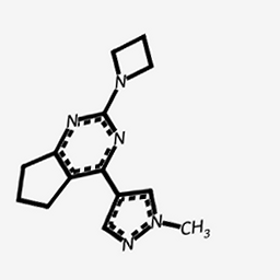 Cn1cc(-c2nc(N3CCC3)nc3c2CCC3)cn1